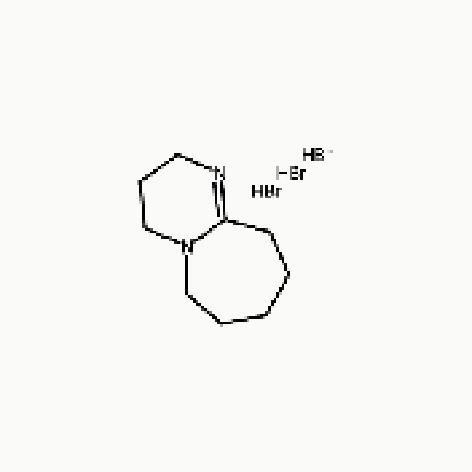 Br.Br.Br.C1CCC2=NCCCN2CC1